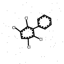 Clc1cc(Cl)c(Cl)c(-c2ccccc2)c1Cl